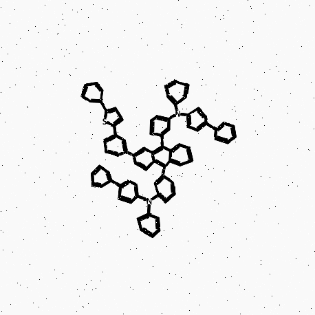 c1ccc(-c2ccc(N(c3ccccc3)c3cccc(-c4c5ccccc5c(-c5cccc(N(c6ccccc6)c6ccc(-c7ccccc7)cc6)c5)c5cc(-c6cccc(-c7ccc(-c8ccccc8)s7)c6)ccc45)c3)cc2)cc1